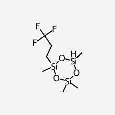 C[SiH]1O[Si](C)(C)O[Si](C)(CCC(F)(F)F)O1